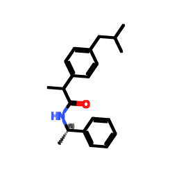 CC(C)Cc1ccc(C(C)C(=O)N[C@@H](C)c2ccccc2)cc1